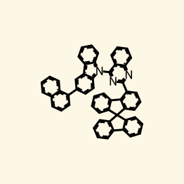 c1ccc2c(c1)-c1ccccc1C21c2ccccc2-c2c(-c3nc(-n4c5ccccc5c5cc(-c6cccc7ccccc67)ccc54)c4ccccc4n3)cccc21